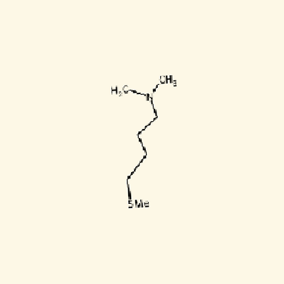 CSCCCCN(C)C